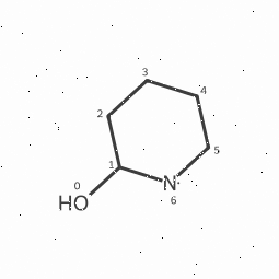 OC1CCCC[N]1